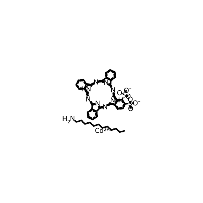 CCCCCCCCCCCCN.O=S(=O)([O-])c1ccc2c3nc4nc(nc5[nH]c(nc6nc(nc([nH]3)c2c1S(=O)(=O)[O-])-c1ccccc1-6)c1ccccc51)-c1ccccc1-4.[Co+2]